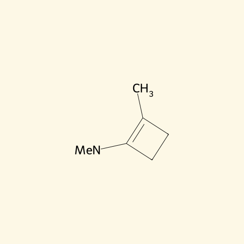 CNC1=C(C)CC1